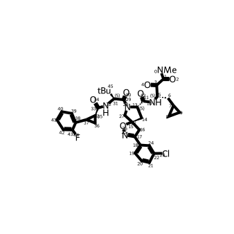 CNC(=O)C(=O)[C@H](CC1CC1)NC(=O)[C@@H]1C[C@]2(CC(c3cccc(Cl)c3)=NO2)CN1C(=O)[C@@H](NC(=O)[C@H]1CC1c1ccccc1F)C(C)(C)C